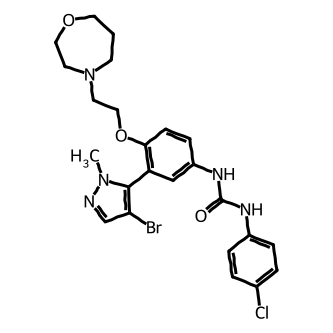 Cn1ncc(Br)c1-c1cc(NC(=O)Nc2ccc(Cl)cc2)ccc1OCCN1CCCOCC1